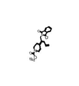 C=CCC(CN1C(=O)c2ccccc2C1=O)=C1CCN(C(=O)OC(C)(C)C)CC1